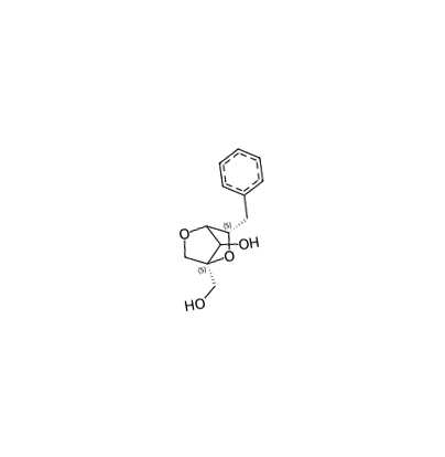 OC[C@]12COC(C1O)[C@H](Cc1ccccc1)O2